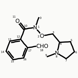 CN(OCC1CCCN1C)C(=O)c1ccccc1C=O